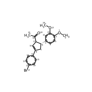 COc1ccc([C@@H]2CC(c3ccc(Br)cc3)=CC2C(C)=O)cc1OC